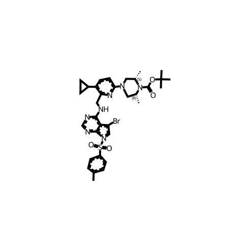 Cc1ccc(S(=O)(=O)n2cc(Br)c3c(NCc4nc(N5C[C@@H](C)N(C(=O)OC(C)(C)C)[C@@H](C)C5)ccc4C4CC4)ncnc32)cc1